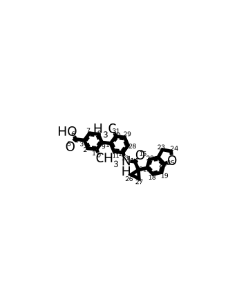 Cc1cc(C(=O)O)ccc1-c1cc(NC(=O)C2(c3ccc4c(c3)CCO4)CC2)ccc1C